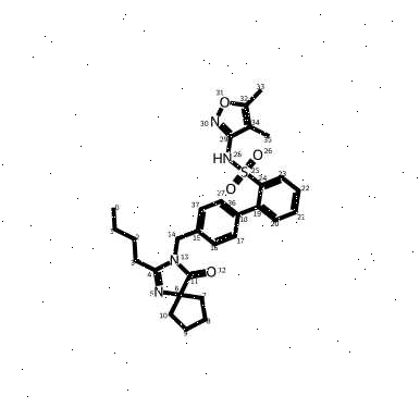 CCCCC1=NC2(CCCC2)C(=O)N1Cc1ccc(-c2ccccc2S(=O)(=O)Nc2noc(C)c2C)cc1